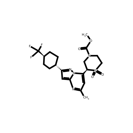 COC(=O)N1CCS(=O)(=O)[C@@H](c2cc(C)nc3cc([C@H]4CC[C@H](C(F)(F)F)CC4)nn23)C1